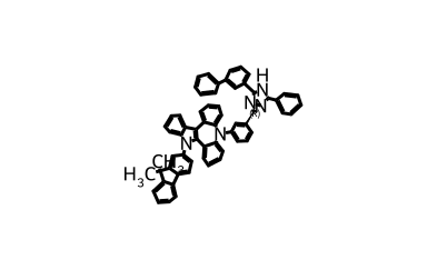 CC1(C)c2ccccc2-c2ccc(-n3c4c(c5ccccc53)-c3ccccc3N(c3cccc([C@@H]5N6C(c7ccccc7)NC(c7cccc(-c8ccccc8)c7)N56)c3)c3ccccc3-4)cc21